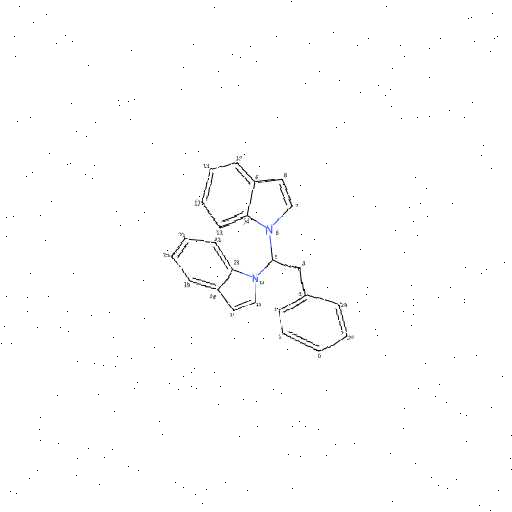 c1ccc(CC(n2ccc3ccccc32)n2ccc3ccccc32)cc1